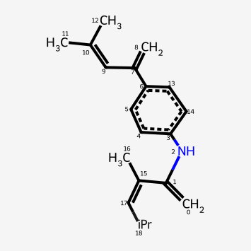 C=C(Nc1ccc(C(=C)C=C(C)C)cc1)/C(C)=C\C(C)C